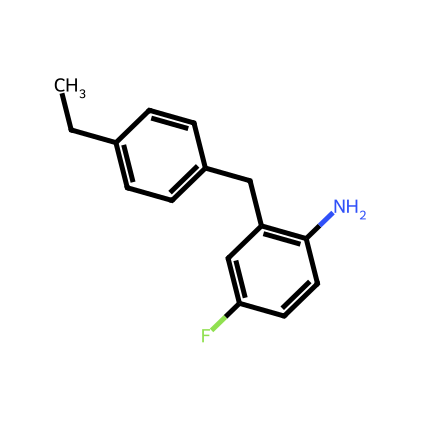 CCc1ccc(Cc2cc(F)ccc2N)cc1